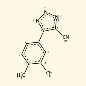 Cc1ccc(-c2nn[nH]c2C#N)cc1C